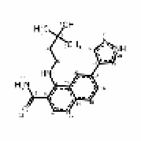 CC(C)(O)CCNc1c(C(N)=O)cnc2ccc(-c3cn[nH]c3)cc12